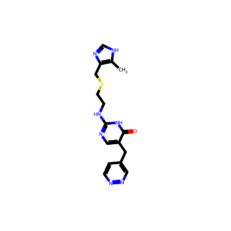 Cc1[nH]cnc1CSCCNc1ncc(Cc2ccnnc2)c(=O)[nH]1